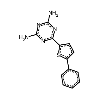 Nc1nc(N)nc(-c2ccc(-c3ccccc3)s2)n1